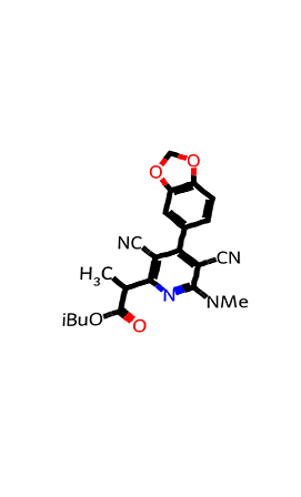 CNc1nc(C(C)C(=O)OCC(C)C)c(C#N)c(-c2ccc3c(c2)OCO3)c1C#N